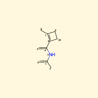 C=C(C)NC(=C)C1=C(C)CC1